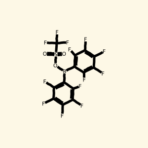 O=S(=O)(OB(c1c(F)c(F)c(F)c(F)c1F)c1c(F)c(F)c(F)c(F)c1F)C(F)(F)F